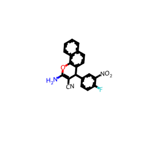 N#CC1=C(N)Oc2c(ccc3ccccc23)C1c1ccc(F)c([N+](=O)[O-])c1